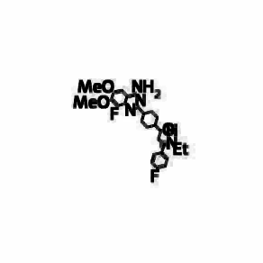 CCN[C@H](CC(=O)C1CCC(c2nc(N)c3cc(OC)c(OC)c(F)c3n2)CC1)c1ccc(F)cc1